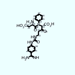 N=C(N)c1ccc(NC(=O)NCCC(=O)[C@@H](C(=O)O)N(C(=O)[C@@H](N)CC(=O)O)c2ccccc2)cc1